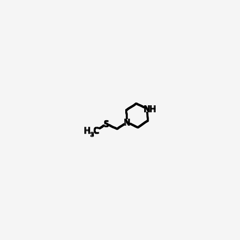 CSCN1CCNCC1